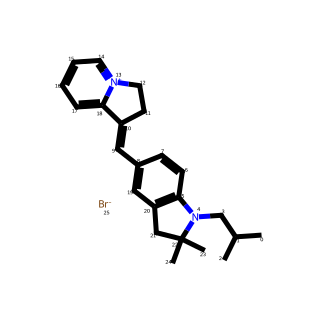 CC(C)CN1c2ccc(C=C3CC[n+]4ccccc43)cc2CC1(C)C.[Br-]